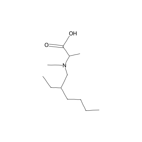 CCCCC(CC)CN(C)C(C)C(=O)O